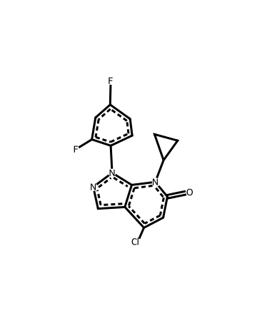 O=c1cc(Cl)c2cnn(-c3ccc(F)cc3F)c2n1C1CC1